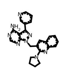 Nc1ncnc2c1c(-c1cccnc1)nn2Cc1cc2ccccc2nc1N1CCCC1